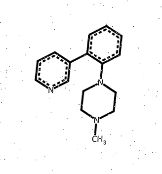 CN1CCN(c2cc[c]cc2-c2cccnc2)CC1